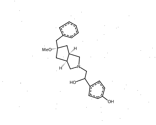 CO[C@]1(Cc2ccccc2)C[C@H]2CN(CC(O)c3ccc(O)cc3)C[C@H]2C1